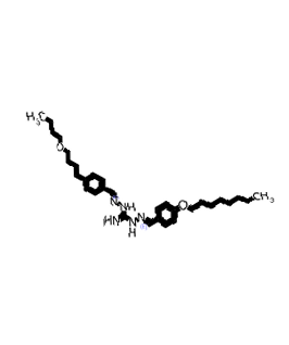 CCCCCCCCOc1ccc(/C=N/NC(=N)N/N=C/c2ccc(CCCCOCCCC)cc2)cc1